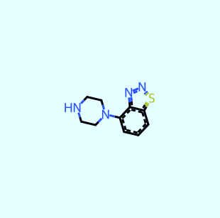 c1cc(N2CCNCC2)c2nnsc2c1